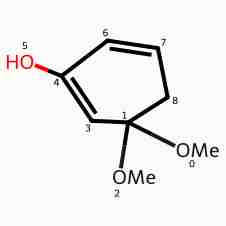 COC1(OC)C=C(O)C=CC1